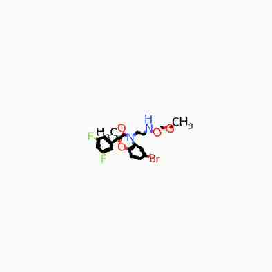 COCONCCN1C(=O)[C@](C)(c2cc(F)cc(F)c2)Oc2ccc(Br)cc21